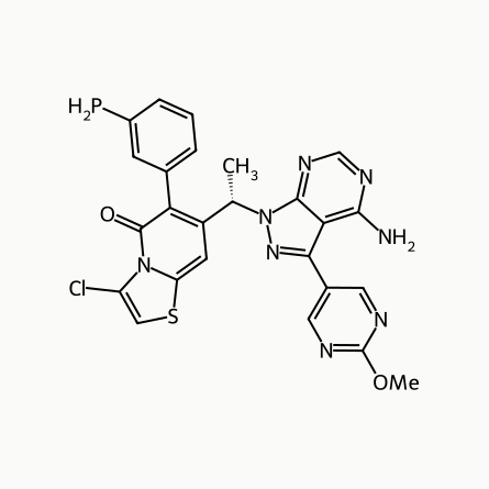 COc1ncc(-c2nn([C@@H](C)c3cc4scc(Cl)n4c(=O)c3-c3cccc(P)c3)c3ncnc(N)c23)cn1